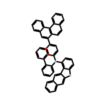 c1ccc(-c2ccccc2N(c2ccc(-c3cc4ccccc4c4c3ccc3ccccc34)cc2)c2cccc3sc4cc5ccccc5cc4c23)cc1